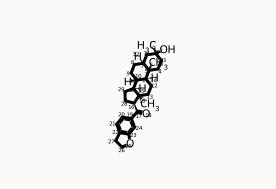 C[C@@]1(O)CC[C@@]2(C)[C@@H](CC[C@@H]3[C@@H]2CC[C@]2(C)[C@@H](C(=O)c4ccc5c(c4)OCC5)CC[C@@H]32)C1